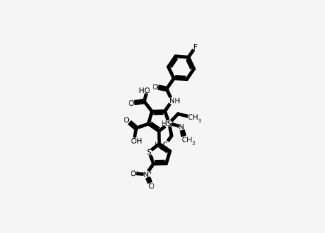 C=N[SH]1(CC)(CC)C(NC(=O)c2ccc(F)cc2)=C(C(=O)O)C(C(=O)O)=C1c1ccc([N+](=O)[O-])s1